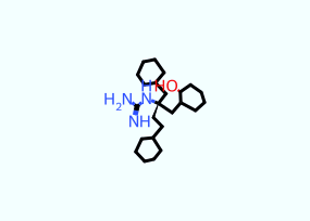 N=C(N)N[C@](CCC1CCCCC1)(CC1CCCCC1)CC1CCCC[C@@H]1O